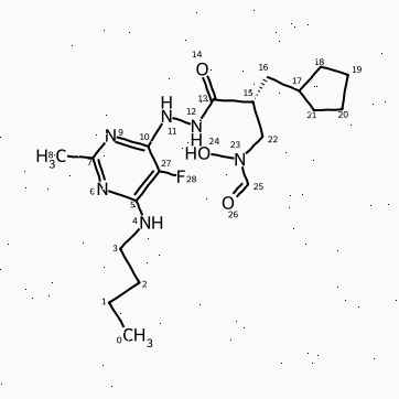 CCCCNc1nc(C)nc(NNC(=O)[C@H](CC2CCCC2)CN(O)C=O)c1F